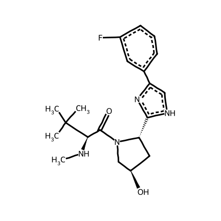 CN[C@H](C(=O)N1C[C@H](O)C[C@H]1c1nc(-c2cccc(F)c2)c[nH]1)C(C)(C)C